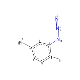 Cc1ccc(C(C)C)cc1N=[N+]=[N-]